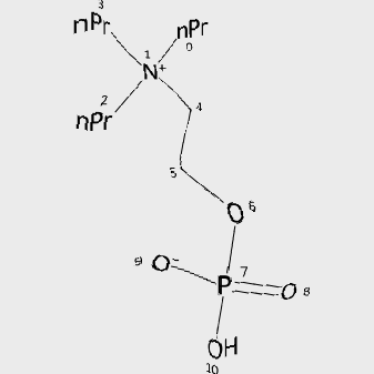 CCC[N+](CCC)(CCC)CCOP(=O)([O-])O